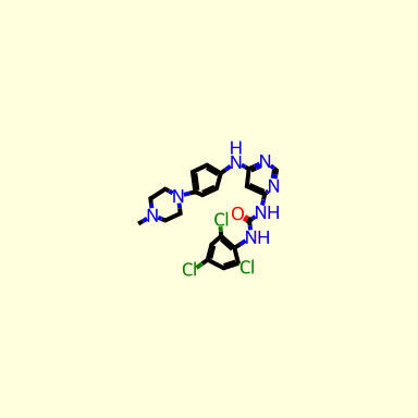 CN1CCN(c2ccc(Nc3cc(NC(=O)Nc4c(Cl)cc(Cl)cc4Cl)ncn3)cc2)CC1